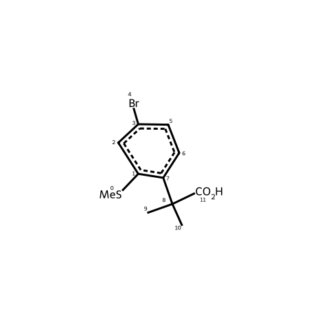 CSc1cc(Br)ccc1C(C)(C)C(=O)O